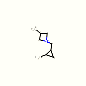 CC1CC1CN1CC(C(C)(C)C)C1